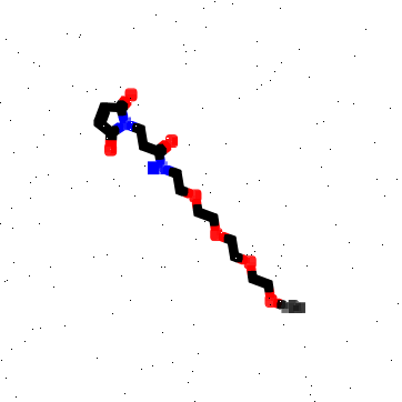 CCCCOCCOCCOCCOCCNC(=O)CCN1C(=O)C=CC1=O